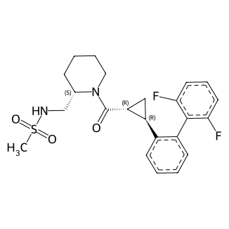 CS(=O)(=O)NC[C@@H]1CCCCN1C(=O)[C@@H]1C[C@H]1c1ccccc1-c1c(F)cccc1F